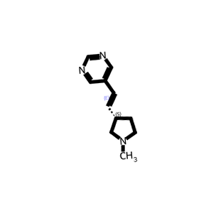 CN1CC[C@@H](/C=C/c2cncnc2)C1